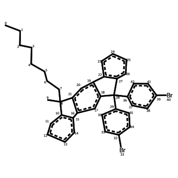 CCCCCCCCC1(C)c2ccccc2-c2cc3c(cc21)-c1ccccc1C3(c1ccc(Br)cc1)c1ccc(Br)cc1